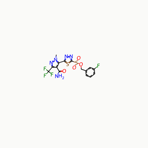 Cn1nc(C(F)(F)F)c(C(N)=O)c1-c1nnc(S(=O)(=O)OCc2cccc(F)c2)s1